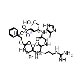 CC(C)[C@H](NC(=O)OCc1ccccc1)C(=O)N[C@@H](CCCNC(=N)N)C(=O)N[C@@H](Cc1c[nH]cn1)C(=O)N[C@H](/C=C/S(C)(=O)=O)CC(=O)O